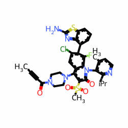 CC#CC(=O)N1CCN(c2c(S(C)(=O)=O)c(=O)n(-c3c(C)ccnc3C(C)C)c3c(F)c(-c4cccc5sc(N)nc45)c(Cl)cc23)CC1